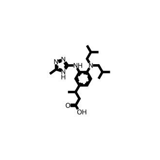 Cc1nnc(Nc2cc(C(C)CC(=O)O)ccc2N(CC(C)C)CC(C)C)[nH]1